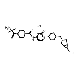 CC(C)(N)C(=O)N1CCN(C(=O)Nc2ccn([C@H]3CC[C@H](CN4CC5C(N)C5C4)CC3)c(=O)n2)CC1.Cl